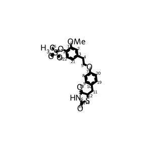 COc1cc(CCOc2ccc(CC3SC(=O)NC3=O)cc2)ccc1OS(C)(=O)=O